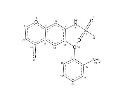 CS(=O)(=O)Nc1cc2occc(=O)c2cc1Oc1ccccc1N